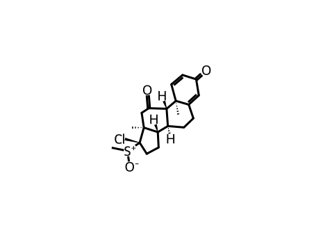 C[S+]([O-])[C@@]1(Cl)CC[C@H]2[C@@H]3CCC4=CC(=O)C=C[C@]4(C)[C@H]3C(=O)C[C@@]21C